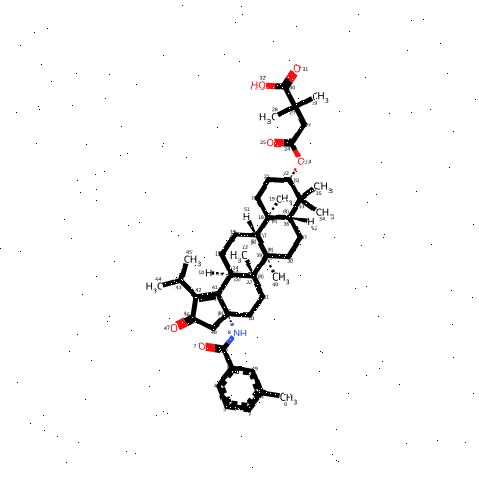 Cc1cccc(C(=O)N[C@@]23CC[C@]4(C)[C@H](CC[C@@H]5[C@@]6(C)CC[C@H](OC(=O)CC(C)(C)C(=O)O)C(C)(C)[C@@H]6CC[C@]54C)C2=C(C(C)C)C(=O)C3)c1